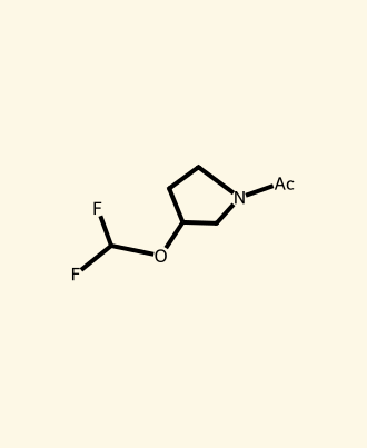 CC(=O)N1CCC(OC(F)F)C1